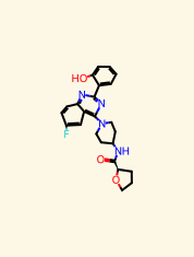 O=C(NC1CCN(c2nc(-c3ccccc3O)nc3ccc(F)cc23)CC1)[C@H]1CCCO1